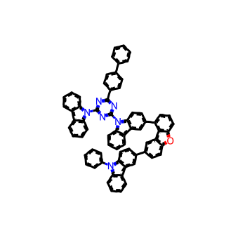 c1ccc(-c2ccc(-c3nc(-n4c5ccccc5c5ccccc54)nc(-n4c5ccccc5c5cc(-c6cccc7oc8ccc(-c9ccc%10c(c9)c9ccccc9n%10-c9ccccc9)cc8c67)ccc54)n3)cc2)cc1